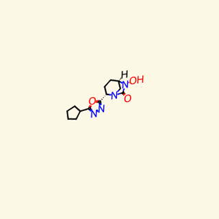 O=C1N(O)[C@@H]2CC[C@@H](c3nnc(C4CCCC4)o3)N1C2